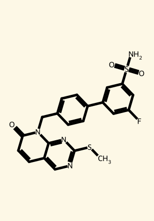 CSc1ncc2ccc(=O)n(Cc3ccc(-c4cc(F)cc(S(N)(=O)=O)c4)cc3)c2n1